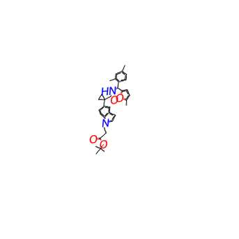 Cc1ccc(C(NC(=O)C2(c3ccc4c(ccn4CCC(=O)OC(C)(C)C)c3)CC2)c2ccc(C)o2)c(C)c1